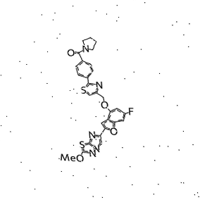 COc1nn2cc(-c3cc4c(OCc5csc(-c6ccc(C(=O)N7CCCC7)cc6)n5)cc(F)cc4o3)nc2s1